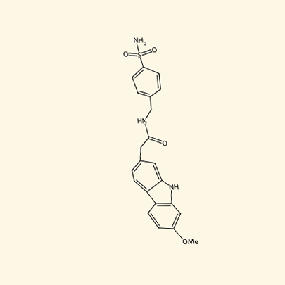 COc1ccc2c(c1)[nH]c1cc(CC(=O)NCc3ccc(S(N)(=O)=O)cc3)ccc12